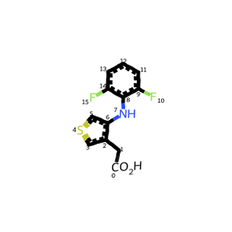 O=C(O)Cc1cscc1Nc1c(F)cccc1F